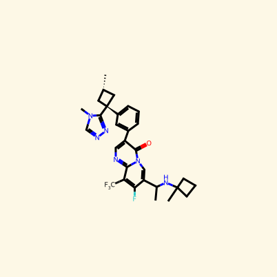 CC(NC1(C)CCC1)c1cn2c(=O)c(-c3cccc([C@]4(c5nncn5C)C[C@@H](C)C4)c3)cnc2c(C(F)(F)F)c1F